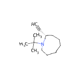 C#C[C@@H]1CCCCCCN1C(C)(C)C